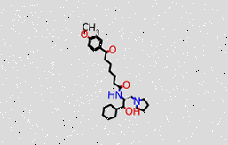 COc1ccc(C(=O)CCCCCC(=O)N[C@H](CN2CCCC2)C(O)C2CCCCC2)cc1